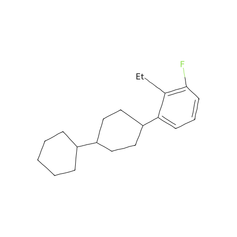 CCc1c(F)cccc1C1CCC(C2CCCCC2)CC1